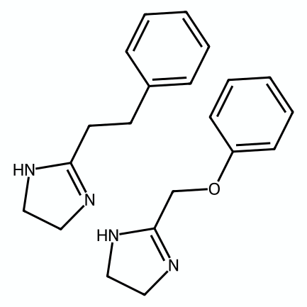 c1ccc(CCC2=NCCN2)cc1.c1ccc(OCC2=NCCN2)cc1